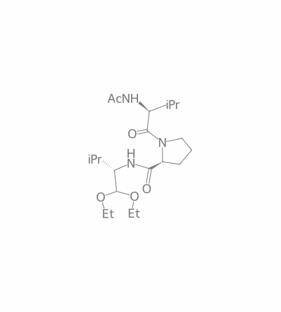 CCOC(OCC)[C@@H](NC(=O)[C@@H]1CCCN1C(=O)[C@@H](NC(C)=O)C(C)C)C(C)C